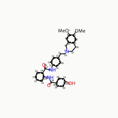 COc1cc2c(cc1OC)CN(CCc1ccc(NC(=O)c3ccccc3NC(=O)c3ccc(O)cc3)cc1)CC2